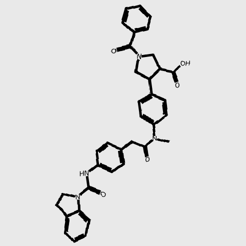 CN(C(=O)Cc1ccc(NC(=O)N2CCc3ccccc32)cc1)c1ccc(C2CN(C(=O)c3ccccc3)CC2C(=O)O)cc1